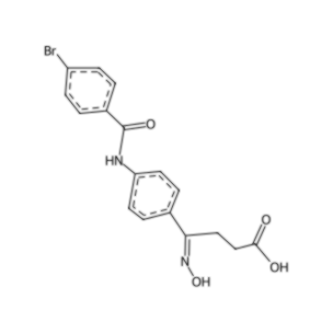 O=C(O)CC/C(=N\O)c1ccc(NC(=O)c2ccc(Br)cc2)cc1